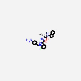 CC(C)(C)C(NC(=O)c1nn(Cc2ccc(N)cc2)c2c(F)cccc12)C(=O)N[C@@H]1CCc2ccccc21